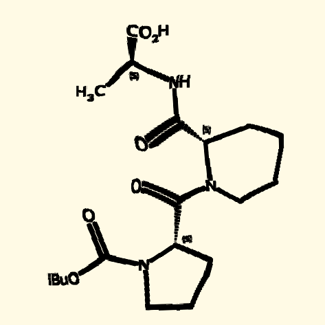 CC(C)COC(=O)N1CCC[C@H]1C(=O)N1CCCC[C@H]1C(=O)N[C@@H](C)C(=O)O